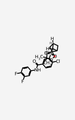 CC1(C)OC[C@]2(C[C@@H]3CC2[C@@H]3S(=O)(=O)c2cc(C(=O)Nc3ccc(F)c(F)c3)ccc2Cl)O1